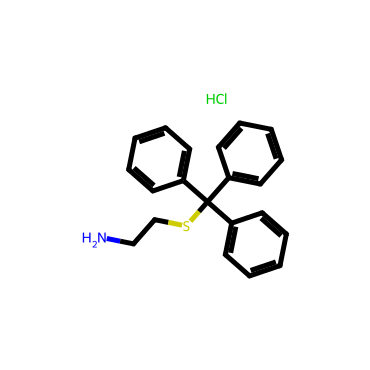 Cl.NCCSC(c1ccccc1)(c1ccccc1)c1ccccc1